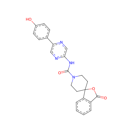 O=C1OC2(CCN(C(=O)Nc3cnc(-c4ccc(O)cc4)cn3)CC2)c2ccccc21